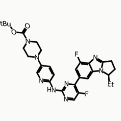 CCC1CCc2nc3c(F)cc(-c4nc(Nc5ccc(N6CCN(C(=O)OC(C)(C)C)CC6)cn5)ncc4F)cc3n21